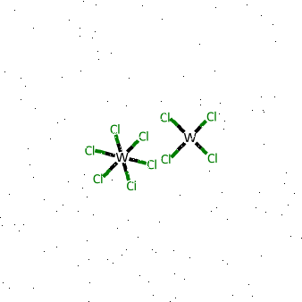 [Cl][W]([Cl])([Cl])([Cl])([Cl])[Cl].[Cl][W]([Cl])([Cl])[Cl]